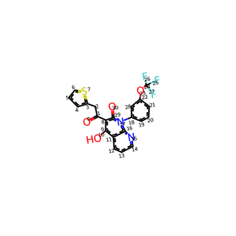 O=C(Cc1cccs1)c1c(O)c2cccnc2n(-c2cccc(OC(F)(F)F)c2)c1=O